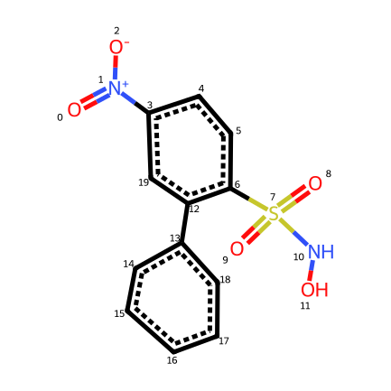 O=[N+]([O-])c1ccc(S(=O)(=O)NO)c(-c2ccccc2)c1